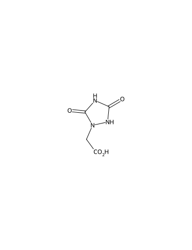 O=C(O)Cn1[nH]c(=O)[nH]c1=O